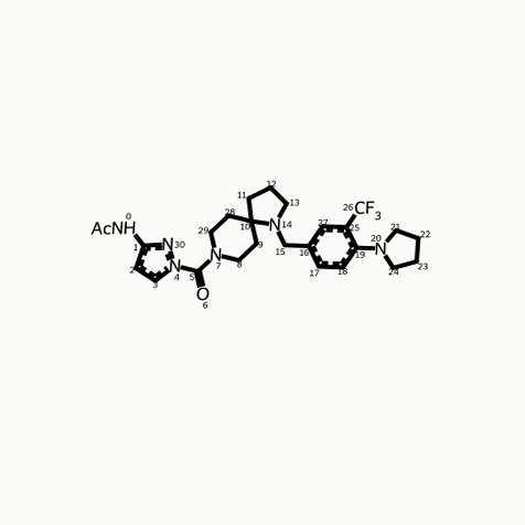 CC(=O)Nc1ccn(C(=O)N2CCC3(CCCN3Cc3ccc(N4CCCC4)c(C(F)(F)F)c3)CC2)n1